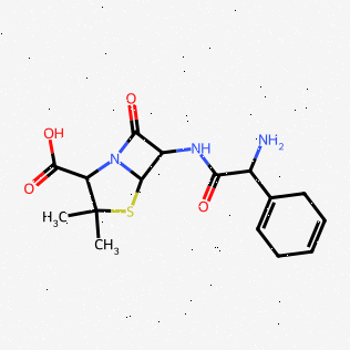 CC1(C)SC2C(NC(=O)C(N)C3=CCC=CC3)C(=O)N2C1C(=O)O